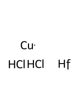 Cl.Cl.[Cu].[Hf]